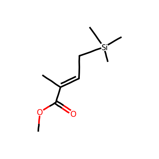 COC(=O)/C(C)=C/C[Si](C)(C)C